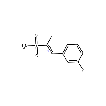 C/C(=C\c1cccc(Cl)c1)S(N)(=O)=O